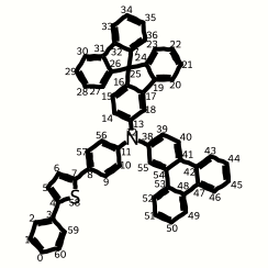 c1ccc(-c2ccc(-c3ccc(N(c4ccc5c(c4)-c4ccccc4C54c5ccccc5-c5ccccc54)c4ccc5c6ccccc6c6ccccc6c5c4)cc3)s2)cc1